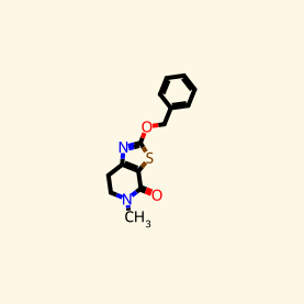 CN1CCc2nc(OCc3ccccc3)sc2C1=O